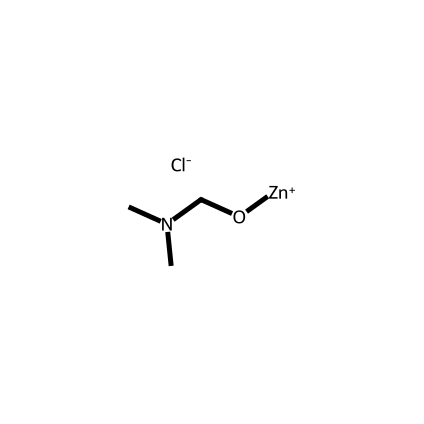 CN(C)C[O][Zn+].[Cl-]